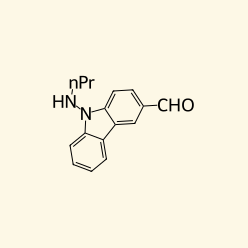 CCCNn1c2ccccc2c2cc(C=O)ccc21